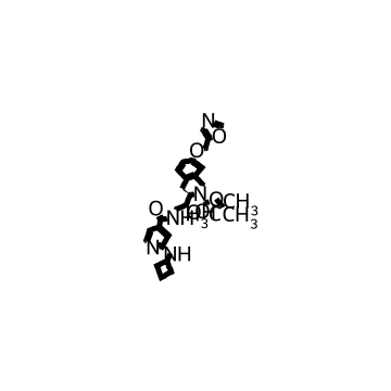 CC(C)(C)OC(=O)N1Cc2cc(OCc3cnco3)ccc2C[C@H]1[C@H](O)CNC(=O)c1ccnc(NC2CCC2)c1